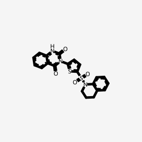 O=c1[nH]c2ccccc2c(=O)n1-c1ccc(S(=O)(=O)N2CCCc3ccccc32)s1